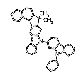 CC1(C)c2cc3c(cc2-c2c1ccc1ccccc21)c1ccccc1n3-c1ccc2c3ccccc3n(-c3ccccc3)c2c1